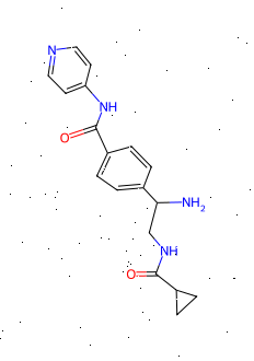 NC(CNC(=O)C1CC1)c1ccc(C(=O)Nc2ccncc2)cc1